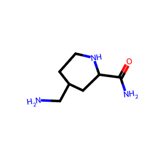 NCC1CCNC(C(N)=O)C1